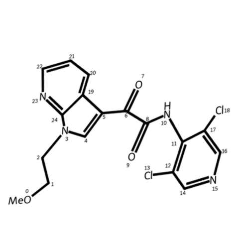 COCCn1cc(C(=O)C(=O)Nc2c(Cl)cncc2Cl)c2cccnc21